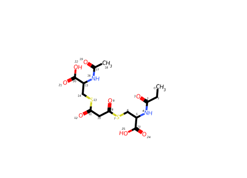 CCC(=O)NC(CSC(=O)CC(=O)SCC(NC(C)=O)C(=O)O)C(=O)O